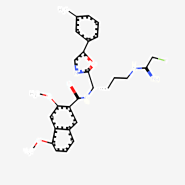 COc1cc2c(OC)cccc2cc1C(=O)N[C@@H](CCCNC(=N)CF)c1ncc(-c2cccc(C)c2)o1